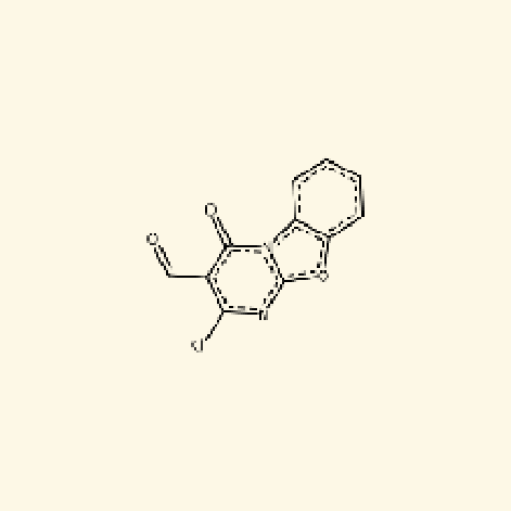 O=Cc1c(Cl)nc2oc3ccccc3n2c1=O